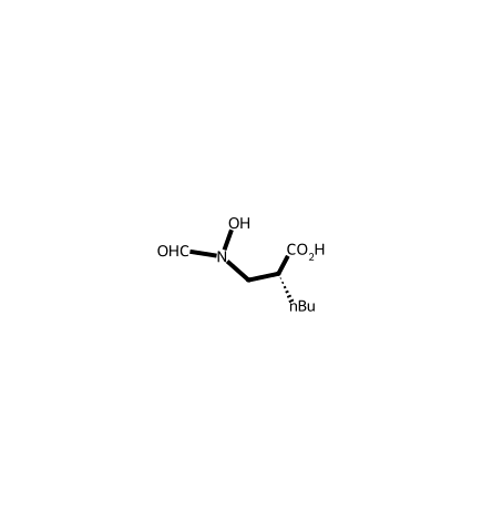 CCCC[C@H](CN(O)C=O)C(=O)O